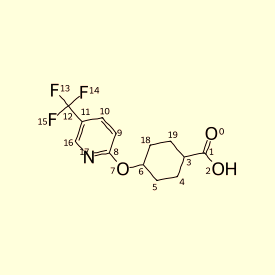 O=C(O)C1CCC(Oc2ccc(C(F)(F)F)cn2)CC1